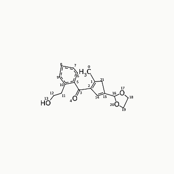 CC1=C(C(=O)c2ccccc2CCO)C=C(C2OCCO2)C1